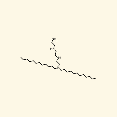 CCCCCCCCCCCCN(CCCCCCCCCCCC)CCNCCNCCN